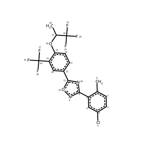 Cc1ccc(Cl)cc1-c1noc(-c2ccc(OC(C)C(F)(F)F)c(C(F)(F)F)c2)n1